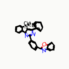 C[Si]1(C)c2ccccc2-c2nc(-c3cccc(-c4nc5ccccc5o4)c3)nc(-c3ccccc3)c21